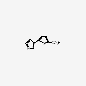 O=C(O)c1ccc(C2=CN=C=C2)s1